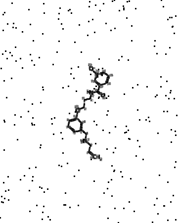 C=CCNCc1cccc(OCCCNC(=O)c2ccc[n+]([O-])c2)c1